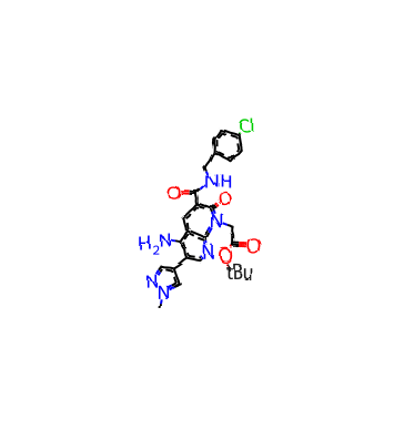 Cn1cc(-c2cnc3c(cc(C(=O)NCc4ccc(Cl)cc4)c(=O)n3CC(=O)OC(C)(C)C)c2N)cn1